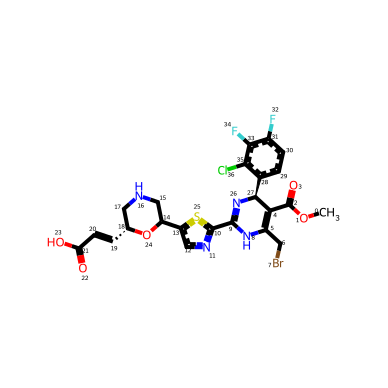 COC(=O)C1=C(CBr)NC(c2ncc(C3CNC[C@@H](/C=C/C(=O)O)O3)s2)=N[C@H]1c1ccc(F)c(F)c1Cl